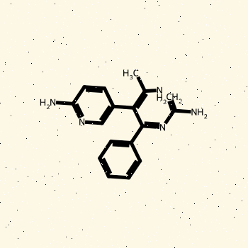 C=C(N)/N=C(\C(=C(\C)N)c1ccc(N)nc1)c1ccccc1